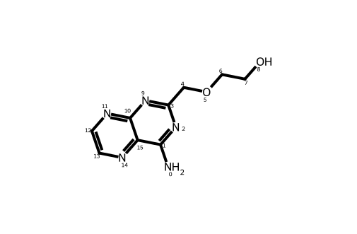 Nc1nc(COCCO)nc2nccnc12